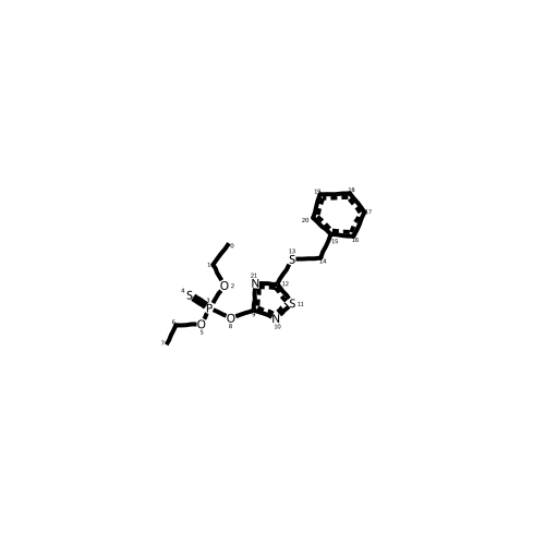 CCOP(=S)(OCC)Oc1nsc(SCc2ccccc2)n1